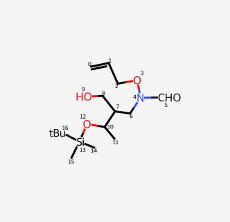 C=CCON(C=O)CC(CO)C(C)O[Si](C)(C)C(C)(C)C